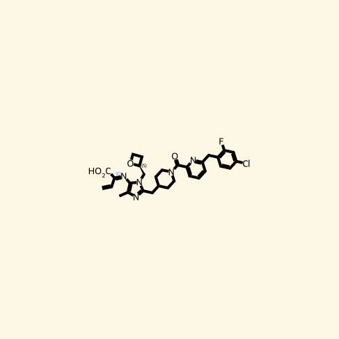 C=C/C(=N\c1c(C)nc(CC2CCN(C(=O)c3cccc(Cc4ccc(Cl)cc4F)n3)CC2)n1C[C@@H]1CCO1)C(=O)O